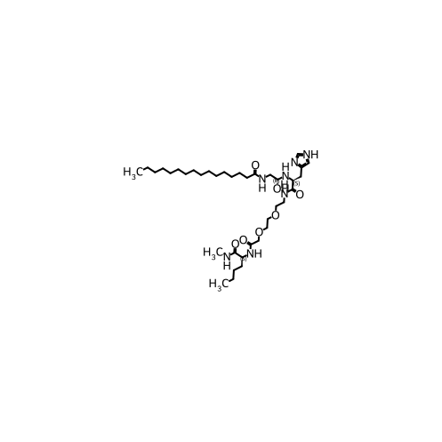 CCCCCCCCCCCCCCCC(=O)NC[C@@H](O)N[C@@H](Cc1c[nH]cn1)C(=O)NCCOCCOCC(=O)N[C@@H](CCCC)C(=O)NC